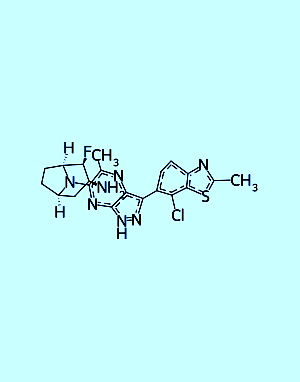 Cc1nc2ccc(-c3n[nH]c4nc(N5[C@@H]6CC[C@H]5[C@@H](F)[C@@H](N)C6)c(C)nc34)c(Cl)c2s1